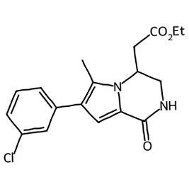 CCOC(=O)CC1CNC(=O)c2cc(-c3cccc(Cl)c3)c(C)n21